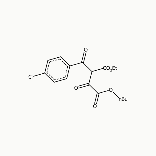 CCCCOC(=O)C(=O)C(C(=O)OCC)C(=O)c1ccc(Cl)cc1